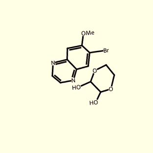 COc1cc2nccnc2cc1Br.OC1OCCOC1O